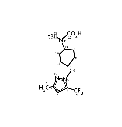 Cc1cc(C(F)(F)F)n(C[C@H]2CC[C@H](N(C(=O)O)C(C)(C)C)CC2)n1